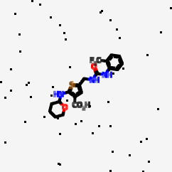 O=C(NCc1cc(C(=O)O)c(NC2CCCCO2)s1)Nc1ccccc1C(F)(F)F